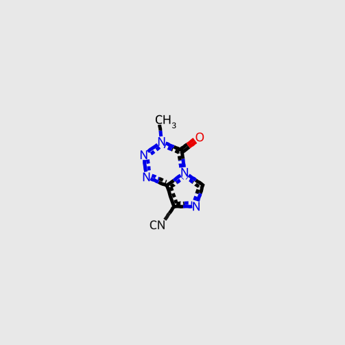 [C-]#[N+]c1ncn2c(=O)n(C)nnc12